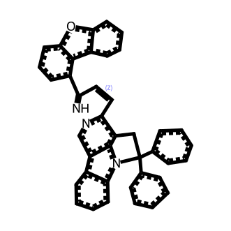 N=C(/C=C\c1ncc2c3ccccc3n3c2c1CC3(c1ccccc1)c1ccccc1)c1cccc2oc3ccccc3c12